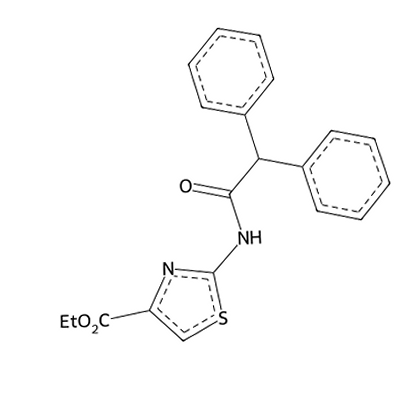 CCOC(=O)c1csc(NC(=O)C(c2ccccc2)c2ccccc2)n1